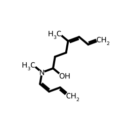 C=C/C=C\N(C)C(O)CC/C(C)=C\C=C